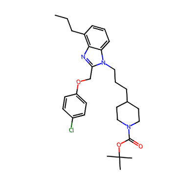 CCCc1cccc2c1nc(COc1ccc(Cl)cc1)n2CCCC1CCN(C(=O)OC(C)(C)C)CC1